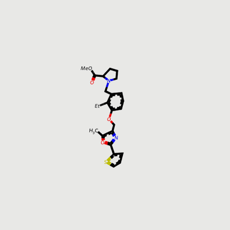 CCc1c(CN2CCCC2C(=O)OC)cccc1OCc1nc(-c2cccs2)oc1C